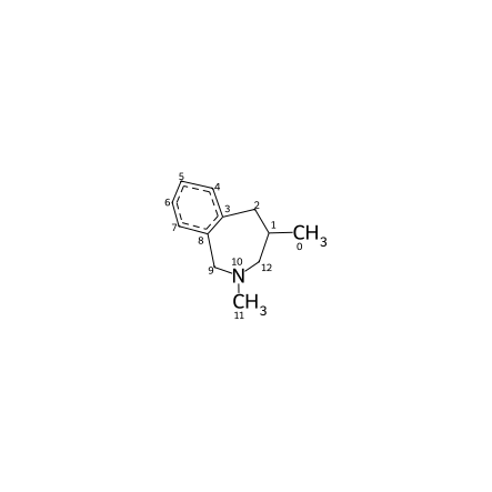 CC1Cc2ccccc2CN(C)C1